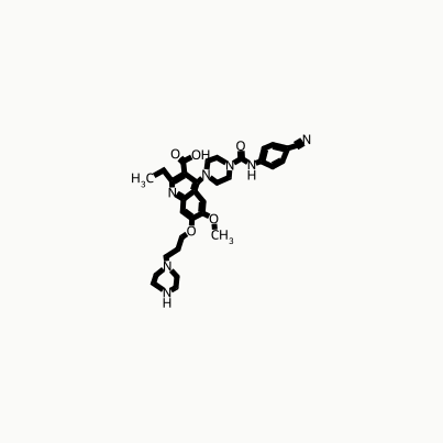 CCc1nc2cc(OCCCN3CCNCC3)c(OC)cc2c(N2CCN(C(=O)Nc3ccc(C#N)cc3)CC2)c1C(=O)O